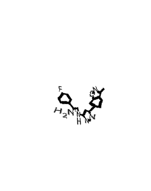 Cc1noc2cc(-c3cc(NC[C@H](N)c4ccc(F)cc4)ncn3)ccc12